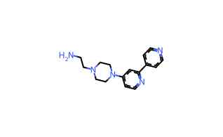 NCCN1CCN(c2ccnc(-c3ccncc3)c2)CC1